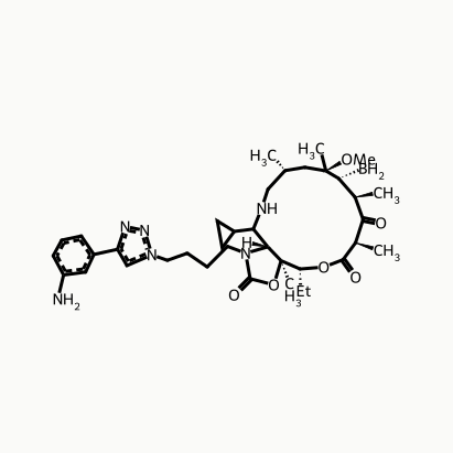 B[C@@H]1[C@@H](C)C(=O)[C@@H](C)C(=O)O[C@H](CC)[C@@]2(C)OC(=O)N(CCCCn3cc(-c4cccc(N)c4)nn3)[C@@H]2C(C2CC2)NC[C@H](C)C[C@@]1(C)OC